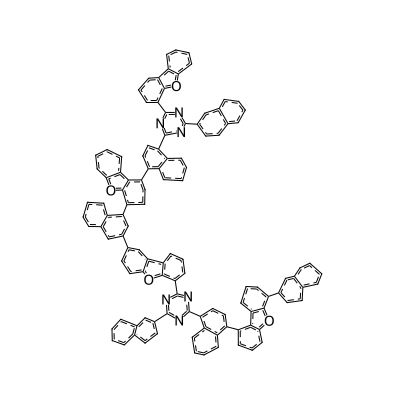 c1ccc2cc(-c3nc(-c4ccc(-c5cccc6oc7c(-c8ccc9ccccc9c8)cccc7c56)c5ccccc45)nc(-c4cccc5c4oc4ccc(-c6cc(-c7ccc(-c8ccc(-c9nc(-c%10ccc%11ccccc%11c%10)nc(-c%10cccc%11c%10oc%10ccccc%10%11)n9)c9ccccc89)c8c7oc7ccccc78)c7ccccc7c6)cc45)n3)ccc2c1